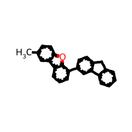 Cc1ccc2oc3c(-c4ccc5c(c4)-c4ccccc4C5)cccc3c2c1